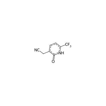 N#CCc1ccc(C(F)(F)F)[nH]c1=O